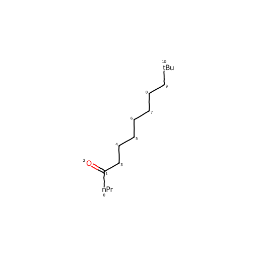 CCCC(=O)CCCCCCCC(C)(C)C